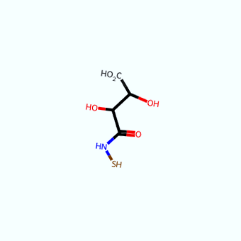 O=C(O)C(O)C(O)C(=O)NS